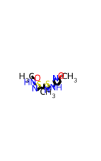 COc1ccc(NC2=NC(C)(c3cnc(NC(C)=O)s3)CS2)cn1